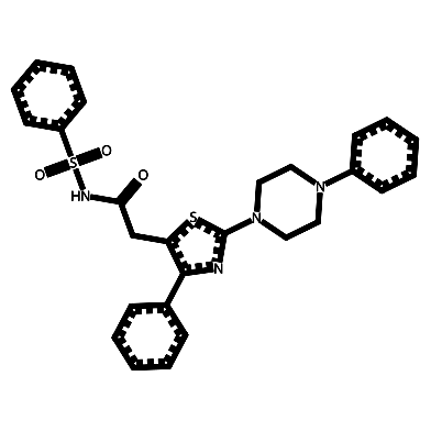 O=C(Cc1sc(N2CCN(c3ccccc3)CC2)nc1-c1ccccc1)NS(=O)(=O)c1ccccc1